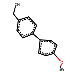 CCCOc1ccc(-c2ccc(CC#N)cc2)cc1